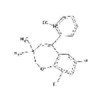 CCc1cc(F)cc2c1OCC(C)(C)C=C2c1cccc[n+]1[O-]